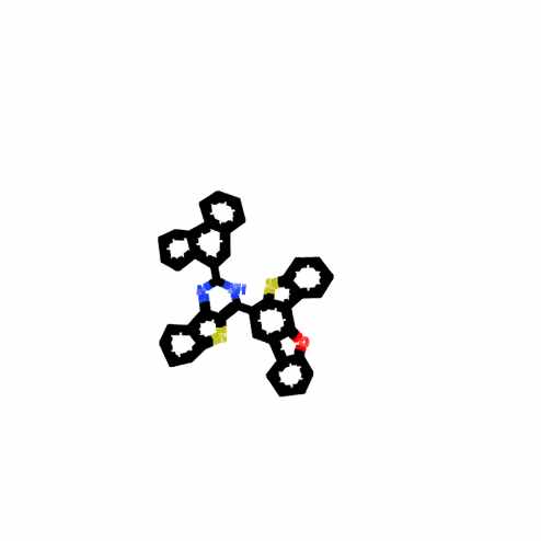 c1ccc2c(c1)cc(C1N=c3c(sc4ccccc34)=C(c3cc4c5ccccc5oc4c4c3sc3ccccc34)N1)c1ccccc12